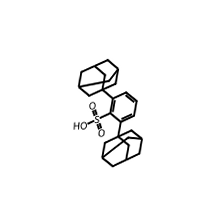 O=S(=O)(O)c1c(C23CC4CC(CC(C4)C2)C3)cccc1C12CC3CC(CC(C3)C1)C2